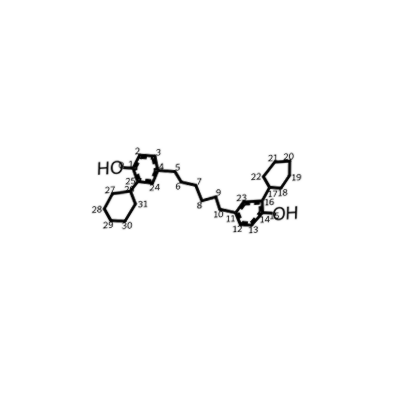 Oc1ccc(CCCCCCc2ccc(O)c(C3CCCCC3)c2)cc1C1CCCCC1